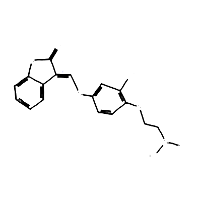 CC(C)N(CCNc1ccc(N/C=C2/C(=O)Nc3ccccc32)cc1C(F)(F)F)C(C)C